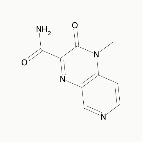 Cn1c(=O)c(C(N)=O)nc2cnccc21